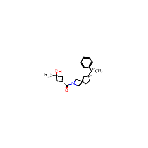 C[C@@H](c1ccccc1)[C@H]1CCC2(C1)CN(C(=O)[C@H]1C[C@@](C)(O)C1)C2